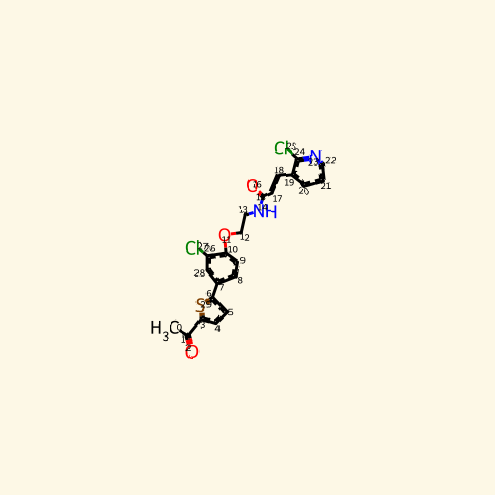 CC(=O)c1ccc(-c2ccc(OCCNC(=O)/C=C/c3cccnc3Cl)c(Cl)c2)s1